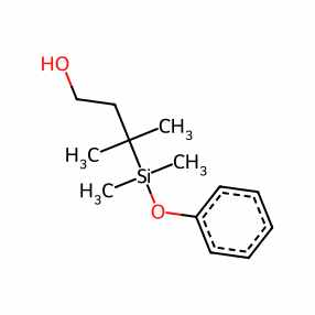 CC(C)(CCO)[Si](C)(C)Oc1ccccc1